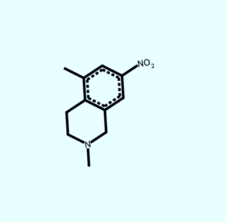 Cc1cc([N+](=O)[O-])cc2c1CCN(C)C2